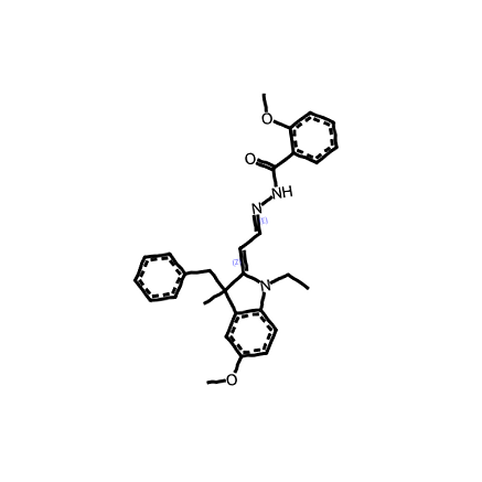 CCN1/C(=C\C=N\NC(=O)c2ccccc2OC)C(C)(Cc2ccccc2)c2cc(OC)ccc21